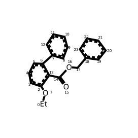 CCOc1cccc(-c2ccccc2)c1C(=O)OCc1ccccc1